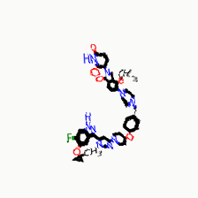 COc1c(N2CCN(C[C@H]3CC[C@H](OC4CCN(c5cc(-c6n[nH]c7cc(F)c(OC8(C)CC8)cc67)ncn5)CC4)CC3)CC2)ccc2c1CN(C1CCC(=O)NC1=O)C2=O